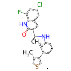 Cc1cscc1-c1cccc(N[C@@H](C)c2cc3cc(Cl)cc(F)c3[nH]c2=O)c1